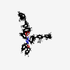 c1ccc2c(c1)ccc1oc3c(-c4nc(-c5ccc(-c6ccc(C78CC9CC(CC(C9)C7)C8)cc6)cc5)nc(-c5cccc6c5oc5ccc(-c7ccc(C89CC%10CC(CC(C%10)C8)C9)cc7)cc56)n4)cc4ccccc4c3c12